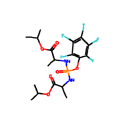 CC(C)OC(=O)C(C)NP(=O)(NC(C)C(=O)OC(C)C)Oc1c(F)c(F)c(F)c(F)c1F